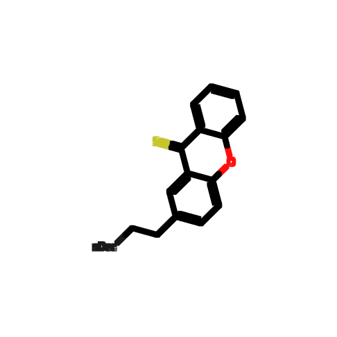 CCCCCCCCCCCCc1ccc2oc3ccccc3c(=S)c2c1